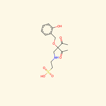 CC(=O)C(CNCCS(=O)(=O)O)(OCc1ccccc1O)C(C)=O